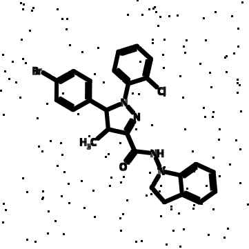 CC1C(C(=O)NN2CCc3ccccc32)=NN(c2ccccc2Cl)C1c1ccc(Br)cc1